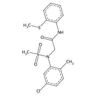 CSc1ccccc1NC(=O)CN(c1cc(Cl)ccc1C)S(C)(=O)=O